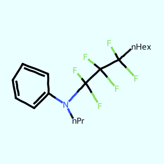 CCCCCCC(F)(F)C(F)(F)C(F)(F)N(CCC)c1ccccc1